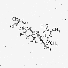 CC(=O)N(C)CC(CN(C)C(C)=O)OC(=O)C1(c2ccc(-c3ccc(Cl)c(Cl)c3)c(F)c2)CC1